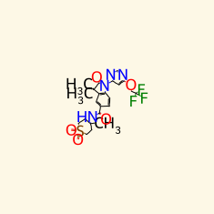 CC1(NC(=O)c2ccc3c(c2)C(C)(C)C(=O)N3c2cc(OCC(F)(F)F)ncn2)CCS(=O)(=O)CC1